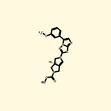 CC(C)(C)OC(=O)N1CC2=CN(c3nn4c(-c5cccc(OC(F)(F)F)c5)cnc4s3)C[C@@H]2C1